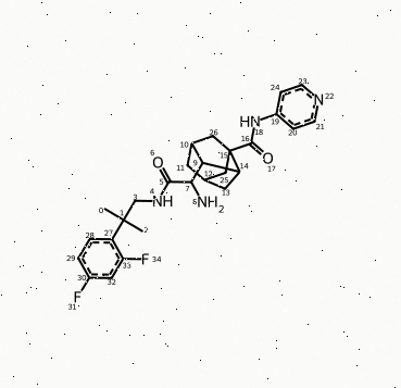 CC(C)(CNC(=O)C(N)C1C2CC3CC1C(C(=O)Nc1ccncc1)(C3)C2)c1ccc(F)cc1F